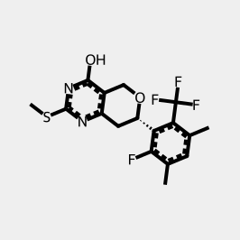 CSc1nc(O)c2c(n1)C[C@@H](c1c(F)c(C)cc(C)c1C(F)(F)F)OC2